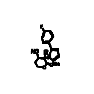 CCC1(n2c(-c3ccc(F)cc3)ccc2C(C)(C)C)C(=O)OCCC1O